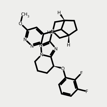 COc1cc(N2C[C@H]3CC[C@@H](C2)C3Nc2nc3n(n2)CCC[C@@H]3Oc2cccc(F)c2F)cnn1